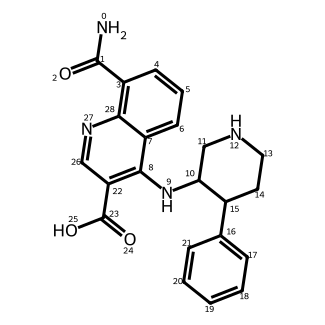 NC(=O)c1cccc2c(NC3CNCCC3c3ccccc3)c(C(=O)O)cnc12